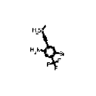 C[SiH2]C#Cc1cc(Br)c(C(F)(F)F)cc1N